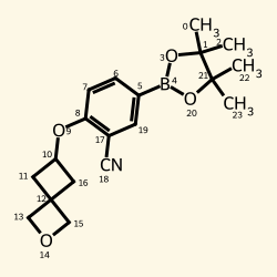 CC1(C)OB(c2ccc(OC3CC4(COC4)C3)c(C#N)c2)OC1(C)C